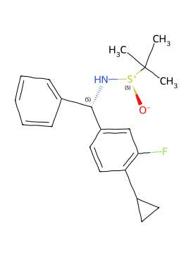 CC(C)(C)[S@@+]([O-])N[C@@H](c1ccccc1)c1ccc(C2CC2)c(F)c1